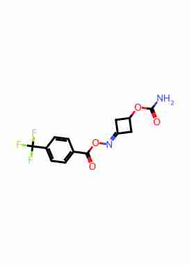 NC(=O)OC1CC(=NOC(=O)c2ccc(C(F)(F)F)cc2)C1